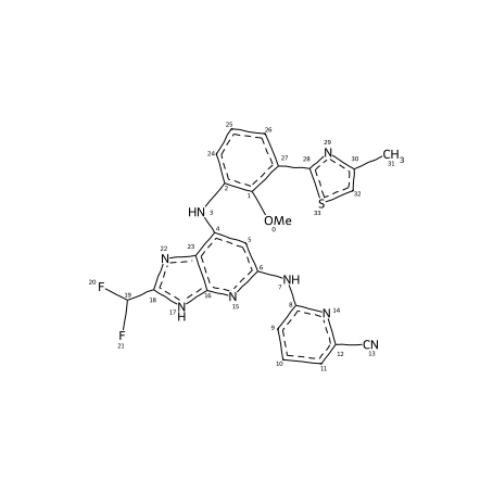 COc1c(Nc2cc(Nc3cccc(C#N)n3)nc3[nH]c(C(F)F)nc23)cccc1-c1nc(C)cs1